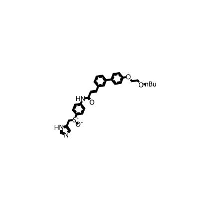 CCCCOCCOc1ccc(-c2cccc(/C=C/C(=O)Nc3ccc([S+]([O-])Cc4cnc[nH]4)cc3)c2)cc1